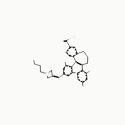 Cc1cc(C=C2CN(CCCF)C2)cc(F)c1C1=C(c2ccc(Cl)cc2Cl)CCCc2cc(C(=O)O)ccc21